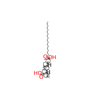 CCCCCCCCCCCCCCCCCC(=O)[C@]1(O)CC[C@@]2(C)C(CC[C@]3(C)[C@@H]2CC=C2[C@@H]4[C@@H](C)[C@H](C)CC[C@]4(C(=O)O)CC[C@]23C)C1(C)C